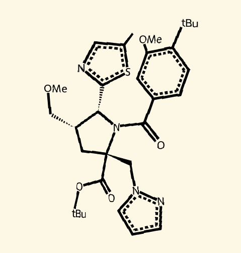 COC[C@H]1C[C@@](Cn2cccn2)(C(=O)OC(C)(C)C)N(C(=O)c2ccc(C(C)(C)C)c(OC)c2)[C@H]1c1ncc(C)s1